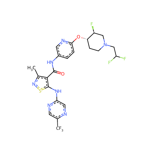 Cc1nsc(Nc2cnc(C(F)(F)F)cn2)c1C(=O)Nc1ccc(O[C@H]2CCN(CC(F)F)C[C@@H]2F)nc1